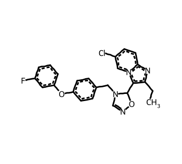 CCc1nc2ccc(Cl)cn2c1C1ON=CN1Cc1ccc(Oc2cccc(F)c2)cc1